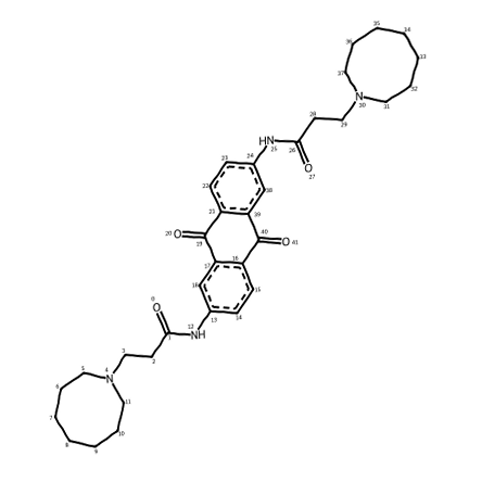 O=C(CCN1CCCCCCC1)Nc1ccc2c(c1)C(=O)c1ccc(NC(=O)CCN3CCCCCCC3)cc1C2=O